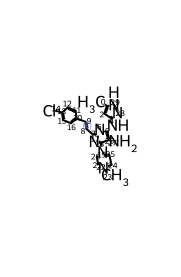 Cc1cc(Nc2nc(/C=C/c3ccc(Cl)cc3)nc(N3CCN(C)CC3)c2N)n[nH]1